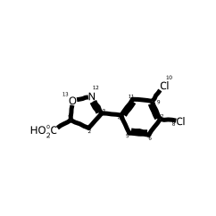 O=C(O)C1CC(c2ccc(Cl)c(Cl)c2)=NO1